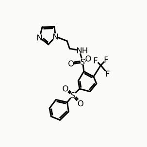 O=S(=O)(NCCn1ccnc1)c1cc(S(=O)(=O)c2ccccc2)ccc1C(F)(F)F